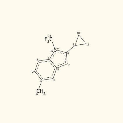 Cc1ccc2c(c1)cc(C1CC1)[s+]2C(F)(F)F